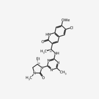 CC[C@H]1CN(C)C(=O)N1c1nc(C)nc(N[C@@H](C)c2cc3cc(Cl)c(OC)cc3[nH]c2=O)n1